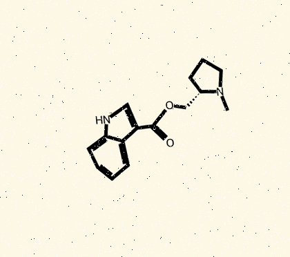 CN1CCC[C@H]1COC(=O)c1c[nH]c2ccccc12